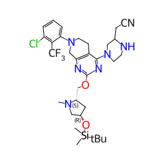 CN1C[C@H](O[Si](C)(C)C(C)(C)C)C[C@H]1COc1nc2c(c(N3CCNC(CC#N)C3)n1)CCN(c1cccc(Cl)c1C(F)(F)F)C2